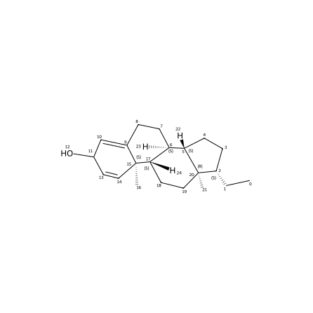 CC[C@H]1CC[C@H]2[C@@H]3CCC4=CC(O)C=C[C@]4(C)[C@H]3CC[C@]12C